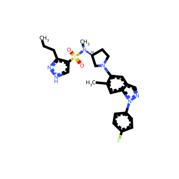 CCCc1n[nH]cc1S(=O)(=O)N(C)[C@H]1CCN(c2cc3cnn(-c4ccc(F)cc4)c3cc2C)C1